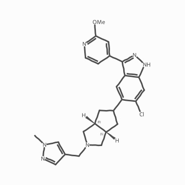 COc1cc(-c2n[nH]c3cc(Cl)c(C4C[C@@H]5CN(Cc6cnn(C)c6)C[C@@H]5C4)cc23)ccn1